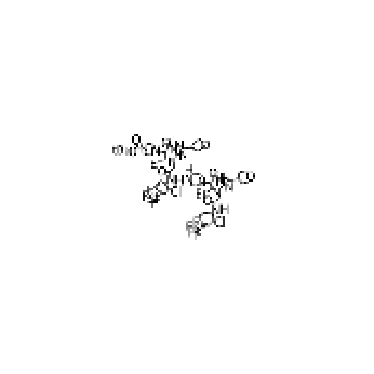 CCc1c(N2CCN(C(=O)OC(C)(C)C)CC2)c(=O)n2nc(C3=CCOCC3)nc2n1CC(=O)Nc1ccc(S(F)(F)(F)(F)F)cc1Cl.CCc1c(N2CCNCC2)c(=O)n2nc(C3=CCOCC3)nc2n1CC(=O)Nc1ccc(S(F)(F)(F)(F)F)cc1Cl